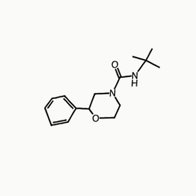 CC(C)(C)NC(=O)N1CCOC(c2ccccc2)C1